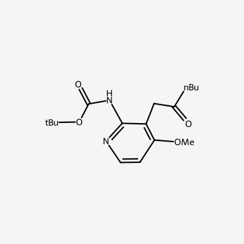 CCCCC(=O)Cc1c(OC)ccnc1NC(=O)OC(C)(C)C